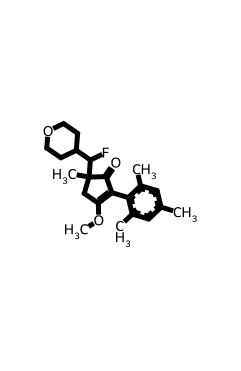 COC1=C(c2c(C)cc(C)cc2C)C(=O)C(C)(C(F)C2CCOCC2)C1